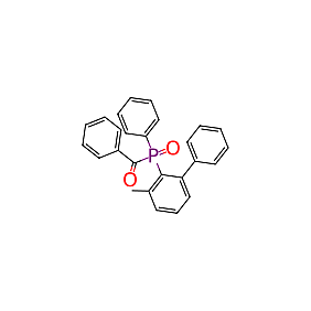 Cc1cccc(-c2ccccc2)c1P(=O)(C(=O)c1ccccc1)c1ccccc1